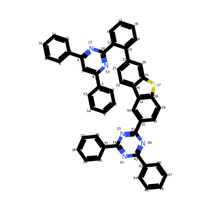 c1ccc(-c2cc(-c3ccccc3)nc(-c3ccccc3-c3ccc4c(c3)sc3ccc(-c5nc(-c6ccccc6)nc(-c6ccccc6)n5)cc34)n2)cc1